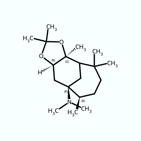 C[C@@H]1CCC(C)(C)C2C[C@@]1(N(C)C)C[C@H]1OC(C)(C)O[C@@]21C